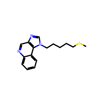 CSCCCCCn1cnc2cnc3ccccc3c21